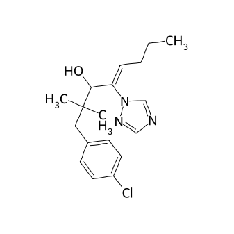 CCC/C=C(/C(O)C(C)(C)Cc1ccc(Cl)cc1)n1cncn1